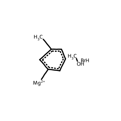 Br.CO.Cc1ccc[c]([Mg+2])c1